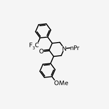 CCCN1CC(c2cccc(OC)c2)C(=O)C(c2ccccc2C(F)(F)F)C1